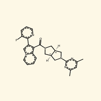 Cc1cc(C)nc(N2C[C@H]3CN(C(=O)c4c(-c5ncccc5F)cn5ccccc45)C[C@H]3C2)n1